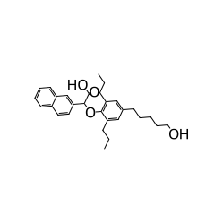 CCCc1cc(CCCCCO)cc(CCC)c1OC(C(=O)O)c1ccc2ccccc2c1